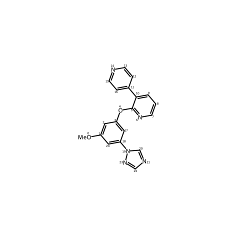 COc1cc(Oc2ncccc2-c2ccncc2)cc(-n2cncn2)c1